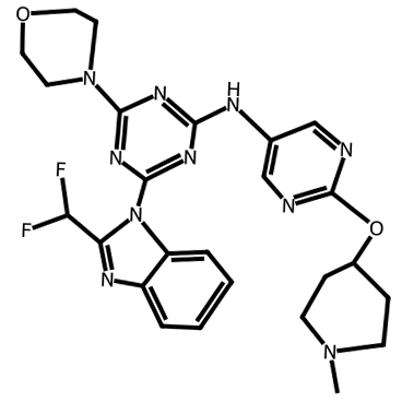 CN1CCC(Oc2ncc(Nc3nc(N4CCOCC4)nc(-n4c(C(F)F)nc5ccccc54)n3)cn2)CC1